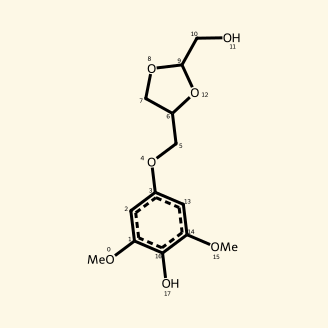 COc1cc(OCC2COC(CO)O2)cc(OC)c1O